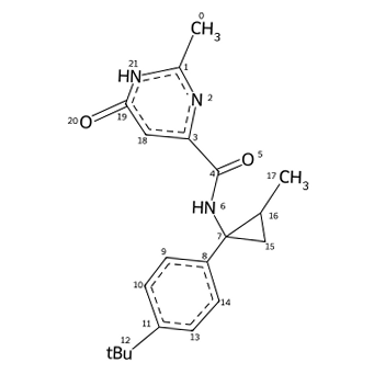 Cc1nc(C(=O)NC2(c3ccc(C(C)(C)C)cc3)CC2C)cc(=O)[nH]1